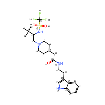 CC(C)(C)C(CN1CCC(CC(=O)NCCc2c[nH]c3ccccc23)CC1)NS(=O)(=O)C(F)(F)F